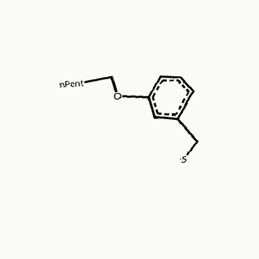 CCCCCCOc1cccc(C[S])c1